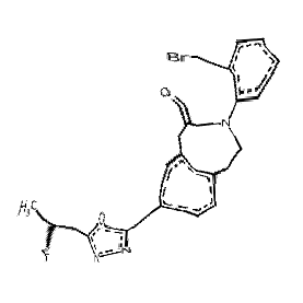 CC(F)c1nnc(-c2ccc3c(c2)C(=O)N(c2ccccc2Br)C3)o1